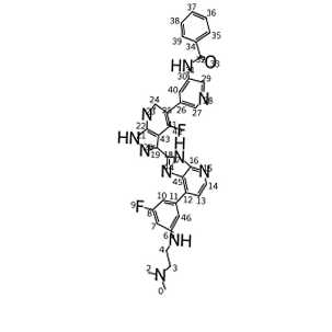 CN(C)CCNc1cc(F)cc(-c2ccnc3[nH]c(-c4n[nH]c5ncc(-c6cncc(NC(=O)c7ccccc7)c6)c(F)c45)nc23)c1